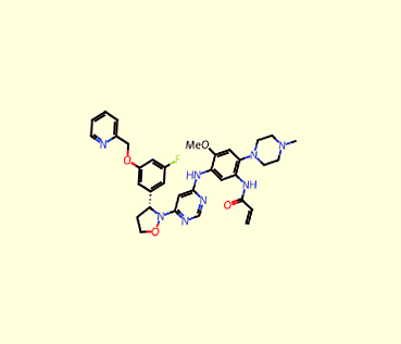 C=CC(=O)Nc1cc(Nc2cc(N3OCC[C@@H]3c3cc(F)cc(OCc4ccccn4)c3)ncn2)c(OC)cc1N1CCN(C)CC1